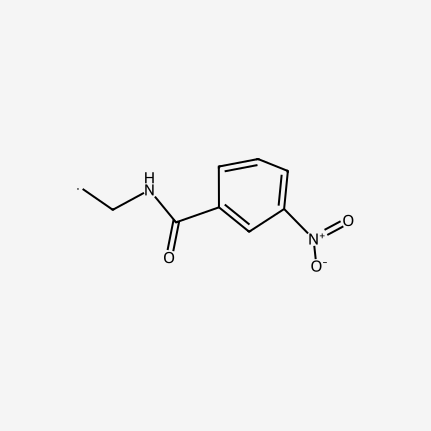 [CH2]CNC(=O)c1cccc([N+](=O)[O-])c1